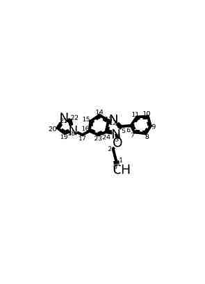 C#CCOn1c(-c2ccccc2)nc2ccc(Cn3ccnc3)cc21